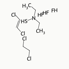 CCN(S)CC.Cl/C=C/Cl.ClCCCl.F.F.F